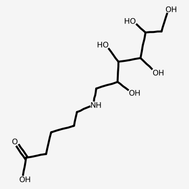 O=C(O)CCCCNCC(O)C(O)C(O)C(O)CO